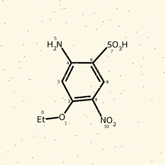 CCOc1cc(N)c(S(=O)(=O)O)cc1[N+](=O)[O-]